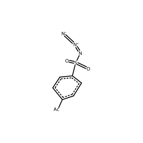 CC(=O)c1ccc(S(=O)(=O)N=[N+]=[N-])cc1